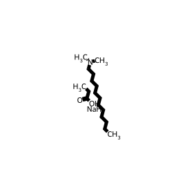 CCC(=O)O.CCCCCCCCCCCCN(C)C.[NaH]